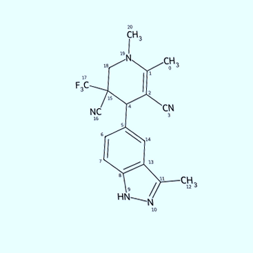 CC1=C(C#N)C(c2ccc3[nH]nc(C)c3c2)C(C#N)(C(F)(F)F)CN1C